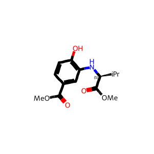 COC(=O)c1ccc(O)c(N[C@H](C(=O)OC)C(C)C)c1